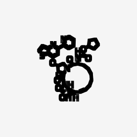 O=C(NC1CCCCC/C=C\[C@@H]2C[C@@]2(C(=O)O)NC(=O)[C@@H]2C[C@@H](Oc3cc(-c4ccccn4)nc4ccsc34)CN2C1=O)OC1CCCC1